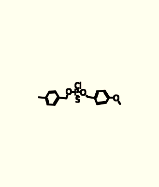 COc1ccc(COP(=S)(Cl)OCc2ccc(C)cc2)cc1